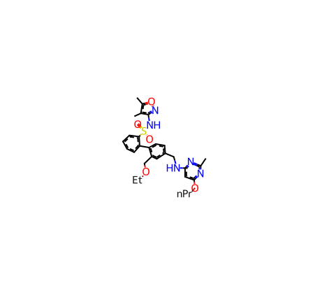 CCCOc1cc(NCc2ccc(-c3ccccc3S(=O)(=O)Nc3noc(C)c3C)c(COCC)c2)nc(C)n1